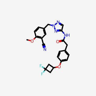 COc1ccc(Cn2ncc(NC(=O)Cc3ccc(OC4CC(F)(F)C4)cc3)n2)cc1C#N